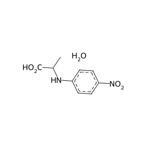 CC(Nc1ccc([N+](=O)[O-])cc1)C(=O)O.O